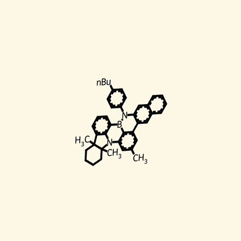 CCCCc1ccc(N2B3c4cccc5c4N(c4cc(C)cc(c43)-c3cc4ccccc4cc32)C2(C)CCCCC52C)cc1